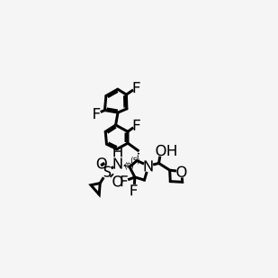 O=S(=O)(N[C@@H]1[C@H](Cc2cccc(-c3cc(F)ccc3F)c2F)N(C(O)C2CCO2)CC1(F)F)C1CC1